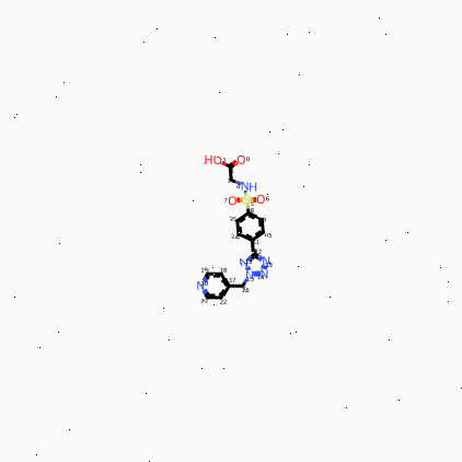 O=C(O)CNS(=O)(=O)c1ccc(-c2nnn(Cc3ccncc3)n2)cc1